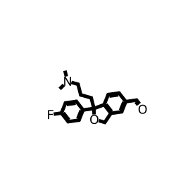 CN(C)CCCC1(c2ccc(F)cc2)OCc2cc(C=O)ccc21